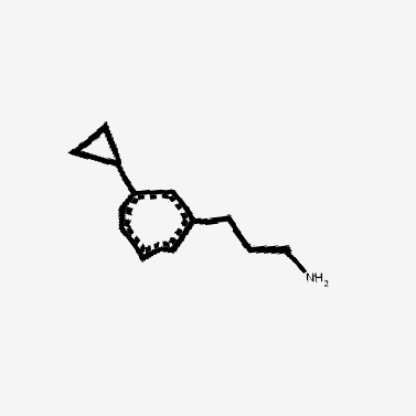 NCCCc1cccc(C2CC2)c1